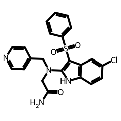 NC(=O)CN(Cc1ccncc1)c1[nH]c2ccc(Cl)cc2c1S(=O)(=O)c1ccccc1